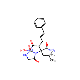 CC(C)C[C@](C(N)=O)([C@H](C/C=C/c1ccccc1)C(=O)NO)N1C(=O)CNC1=O